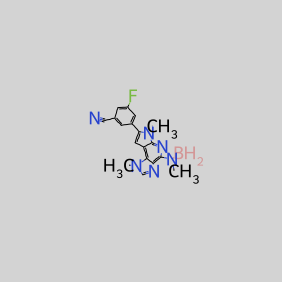 BN(C)c1nc2c(cc(-c3cc(F)cc(C#N)c3)n2C)c2c1ncn2C